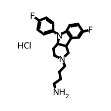 Cl.NCCCCN1CCC2C(C1)c1cc(F)ccc1N2c1ccc(F)cc1